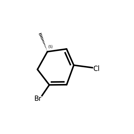 C[C@@H]1C=C(Cl)C=C(Br)C1